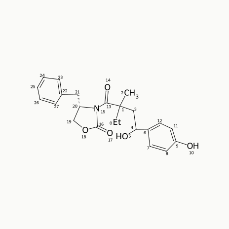 CCC(C)(CC(O)c1ccc(O)cc1)C(=O)N1C(=O)OC[C@@H]1Cc1ccccc1